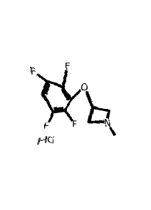 CN1CC(Oc2c(F)c(F)cc(F)c2F)C1.Cl